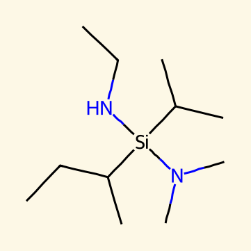 CCN[Si](C(C)C)(C(C)CC)N(C)C